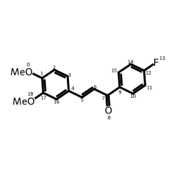 COc1ccc(/C=C/C(=O)c2ccc(F)cc2)cc1OC